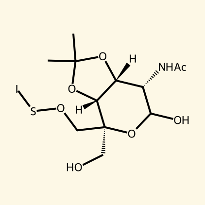 CC(=O)N[C@@H]1C(O)O[C@@](CO)(COSI)[C@@H]2OC(C)(C)O[C@H]12